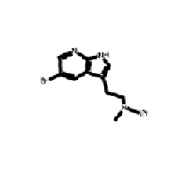 CC(C)N(C)CCc1c[nH]c2ncc(Br)cc12